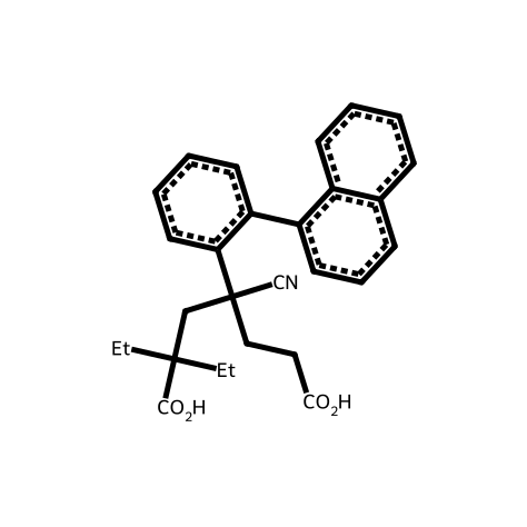 CCC(CC)(CC(C#N)(CCC(=O)O)c1ccccc1-c1cccc2ccccc12)C(=O)O